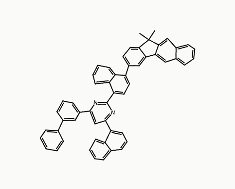 CC1(C)c2ccc(-c3ccc(-c4nc(-c5cccc(-c6ccccc6)c5)cc(-c5cccc6ccccc56)n4)c4ccccc34)cc2-c2cc3ccccc3cc21